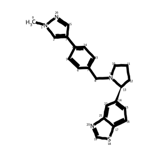 Cn1cc(-c2ccc(CN3CCC[C@H]3c3ccc4scnc4c3)cc2)cn1